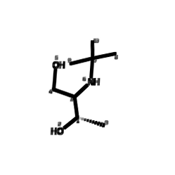 C[C@H](O)C(CO)NC(C)(C)C